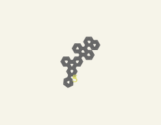 c1ccc2c(-c3c4ccccc4c(-c4ccc5c(c4)c4ccccc4c4cc6c(cc54)sc4ccccc46)c4ccccc34)cccc2c1